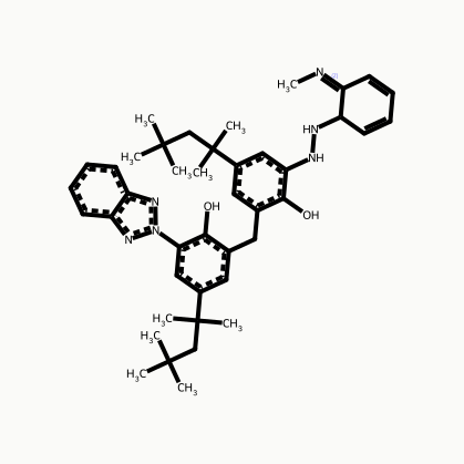 C/N=C1/C=CC=CC1NNc1cc(C(C)(C)CC(C)(C)C)cc(Cc2cc(C(C)(C)CC(C)(C)C)cc(-n3nc4ccccc4n3)c2O)c1O